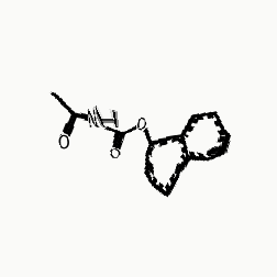 CC(=O)NC(=O)Oc1cccc2ccccc12